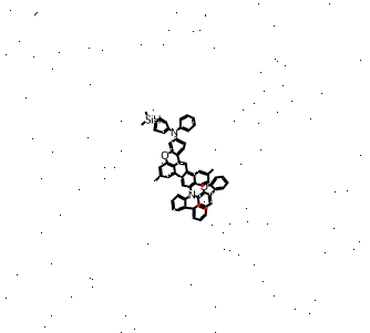 Cc1ccc2c(N(c3ccccc3-c3ccccc3)c3cccc4c3oc3ccccc34)cc3c4cc(C)cc5c4c(cc3c2c1)-c1ccc(N(c2ccccc2)c2ccc([SiH](C)C)cc2)cc1O5